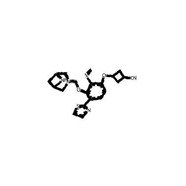 C=Nc1c(OC2CC(C#N)C2)ccc(-c2nccs2)c1OCN1CC2CC(C1)N2